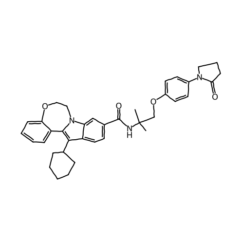 CC(C)(COc1ccc(N2CCCC2=O)cc1)NC(=O)c1ccc2c(C3CCCCC3)c3n(c2c1)CCOc1ccccc1-3